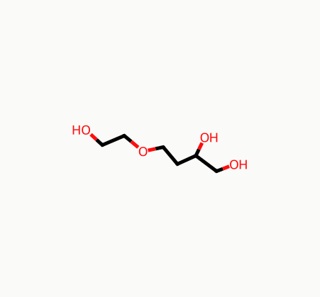 OCCOCCC(O)CO